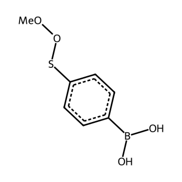 COOSc1ccc(B(O)O)cc1